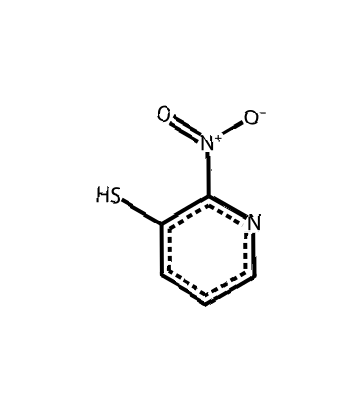 O=[N+]([O-])c1ncccc1S